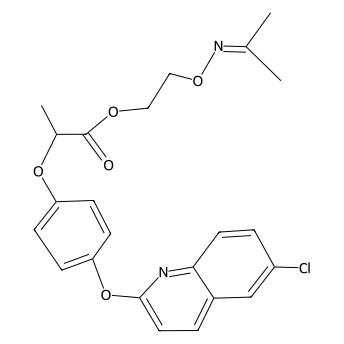 CC(C)=NOCCOC(=O)C(C)Oc1ccc(Oc2ccc3cc(Cl)ccc3n2)cc1